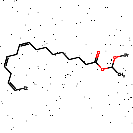 CC/C=C\C/C=C\C/C=C\CCCCCCCC(=O)OC(C)OC(C)C